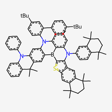 Cc1cc2c3c(c1)N(c1ccc4c(c1)C(C)(C)CCC4(C)C)c1c(sc4cc5c(cc14)C(C)(C)CCC5(C)C)B3c1cc3c(cc1N2c1ccc(C(C)(C)C)cc1-c1ccc(C(C)(C)C)cc1)N(c1ccccc1)c1ccccc1C3(C)C